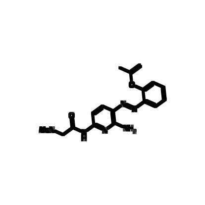 C=C(C)Oc1ccccc1/N=N/c1ccc(NC(=O)CNC)nc1N